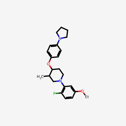 CCOc1ccc(F)c(N2CCC(Oc3ccc(N4CCCC4)cc3)C(C)C2)c1